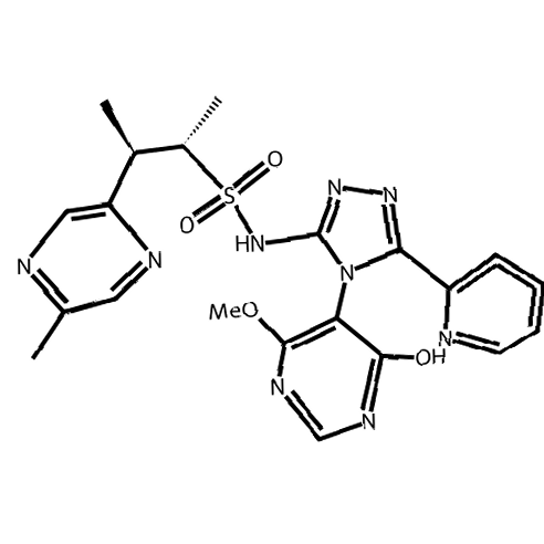 COc1ncnc(O)c1-n1c(NS(=O)(=O)[C@@H](C)[C@H](C)c2cnc(C)cn2)nnc1C1=C=C=CC=N1